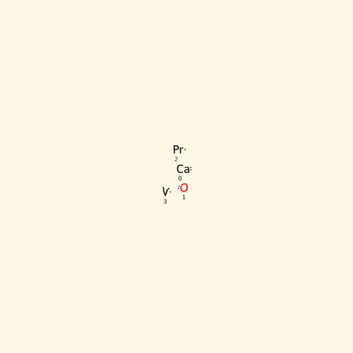 [Ca].[O].[Pr].[V]